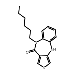 CCCCCCN1C(=O)c2cscc2Nc2ccccc21